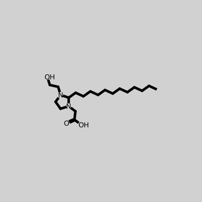 CCCCCCCCCCCCC1N(CCO)CCN1CC(=O)O